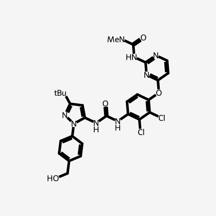 CNC(=O)Nc1nccc(Oc2ccc(NC(=O)Nc3cc(C(C)(C)C)nn3-c3ccc(CO)cc3)c(Cl)c2Cl)n1